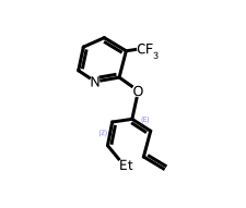 C=C/C=C(\C=C/CC)Oc1ncccc1C(F)(F)F